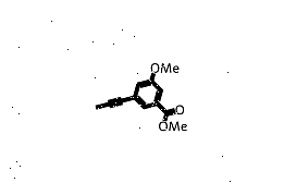 CC#Cc1cc(OC)cc(C(=O)OC)c1